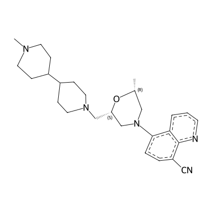 C[C@@H]1CN(c2ccc(C#N)c3ncccc23)C[C@H](CN2CCC(C3CCN(C)CC3)CC2)O1